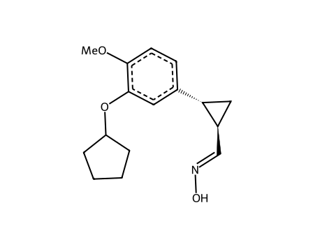 COc1ccc([C@@H]2C[C@H]2C=NO)cc1OC1CCCC1